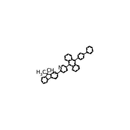 CC1(C)c2ccccc2-c2ccc(-c3ccc(-c4c5ccccc5c(-c5ccc(-c6ccccc6)cc5)c5ccccc45)cn3)cc21